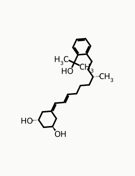 C[C@H](CCC/C=C/C=C1C[C@@H](O)C[C@H](O)C1)CCc1ccccc1C(C)(C)O